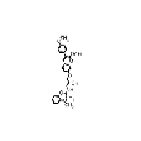 COC(=O)C(=Cc1ccc(OCC(O)CNC(C)Oc2ccccc2OC)cc1)c1ccc(OC)cc1